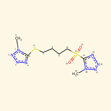 Cn1nnnc1SCCCCS(=O)(=O)c1nnnn1C